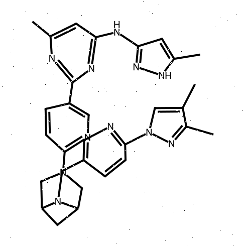 Cc1cc(Nc2cc(C)[nH]n2)nc(-c2ccc(N3CC4CC(C3)N4Cc3ccc(-n4cc(C)c(C)n4)nc3)nc2)n1